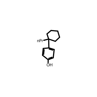 CCCC1(c2ccc(O)cc2)CCCCC1